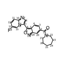 O=C(c1ccc2c(-c3cnc4ccc(F)cn34)onc2c1)N1CCCCCC1